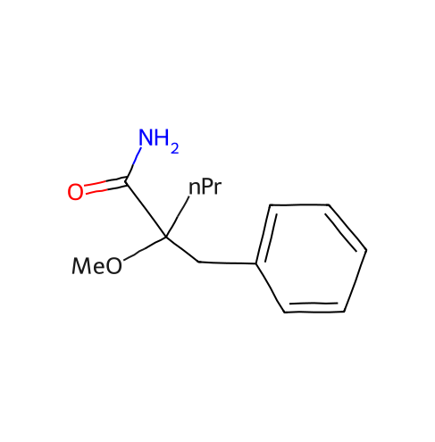 CCCC(Cc1ccccc1)(OC)C(N)=O